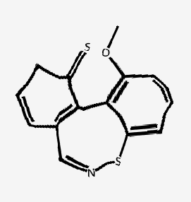 COc1cccc2c1C1=C(C=CCC1=S)C=NS2